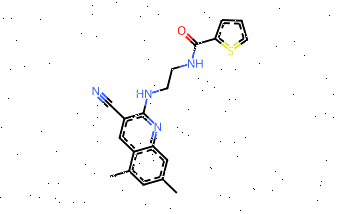 Cc1cc(C)c2cc(C#N)c(NCCNC(=O)c3cccs3)nc2c1